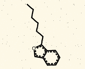 [CH2]CCCCCc1occ2ccccc12